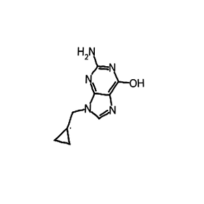 Nc1nc(O)c2ncn(C[C]3CC3)c2n1